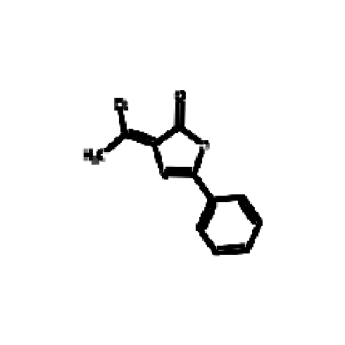 CCC(C)=C1N=C(c2ccccc2)OC1=O